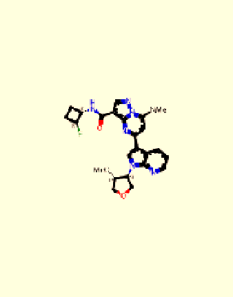 CNc1cc(-c2cn([C@H]3COC[C@@H]3OC)c3ncccc23)nc2c(C(=O)N[C@H]3CC[C@@H]3F)cnn12